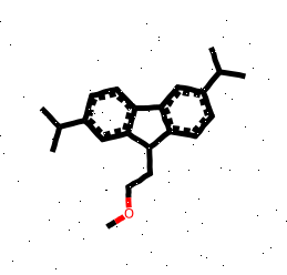 COCCC1c2ccc(C(C)C)cc2-c2ccc(C(C)C)cc21